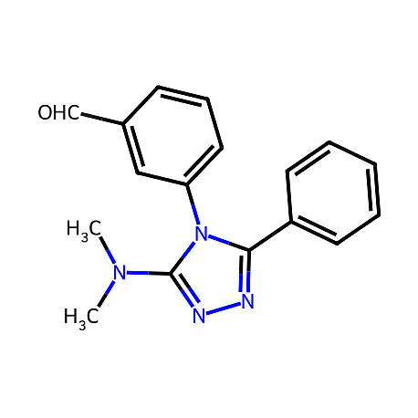 CN(C)c1nnc(-c2ccccc2)n1-c1cccc(C=O)c1